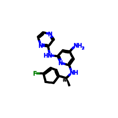 C[C@H](Nc1cc(N)cc(Nc2cnccn2)n1)C1=CC=C(F)CC1